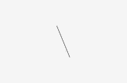 CCCCCCC[CH]CCCCCCCCCCCCCCCCCCCCCCCCCCC